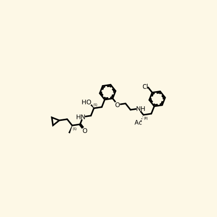 CC(=O)[C@@H](Cc1cccc(Cl)c1)NCCOc1ccccc1C[C@H](O)CNC(=O)[C@@H](C)CC1CC1